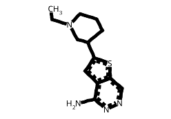 CCN1CCCC(c2cc3c(N)nncc3s2)C1